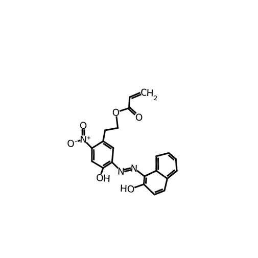 C=CC(=O)OCCc1cc(/N=N/c2c(O)ccc3ccccc23)c(O)cc1[N+](=O)[O-]